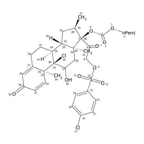 CCCCCOC(=O)O[C@]1(C(=O)COS(=O)(=O)c2ccc(Cl)cc2)[C@H](C)C[C@H]2[C@@H]3CCC4=CC(=O)C=C[C@]4(C)[C@@]3(Cl)C(O)C[C@@]21C